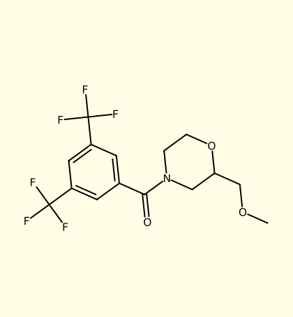 COCC1CN(C(=O)c2cc(C(F)(F)F)cc(C(F)(F)F)c2)CCO1